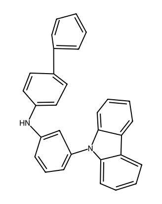 c1ccc(-c2ccc(Nc3cccc(-n4c5ccccc5c5ccccc54)c3)cc2)cc1